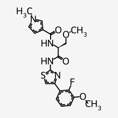 COC[C@H](NC(=O)c1ccn(C)c1)C(=O)Nc1nc(-c2cccc(OC)c2F)cs1